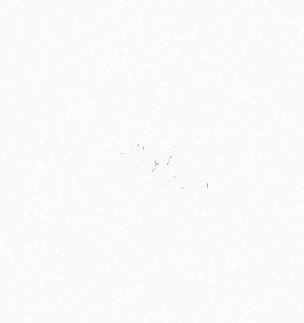 CCOC(C)(C)CCNC(=O)C(F)(C(C)C)C(F)(F)F